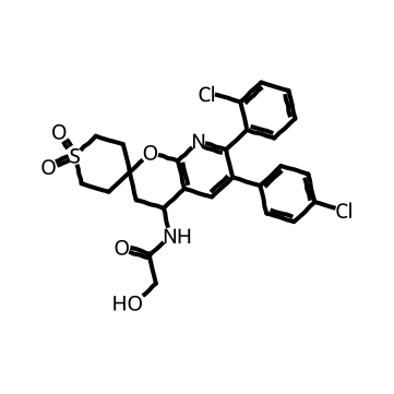 O=C(CO)NC1CC2(CCS(=O)(=O)CC2)Oc2nc(-c3ccccc3Cl)c(-c3ccc(Cl)cc3)cc21